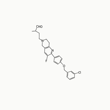 CC(C=O)CCN1CCc2nc(-c3ccc(OCc4cccc(Cl)c4)cc3)c(F)cc2C1